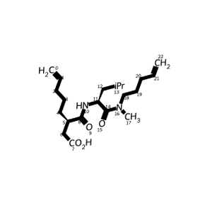 C=CCCC[C@H](CC(=O)O)C(=O)N[C@@H](CC(C)C)C(=O)N(C)CCCC=C